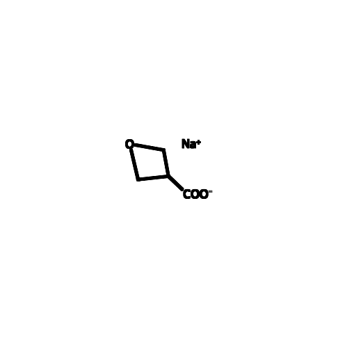 O=C([O-])C1COC1.[Na+]